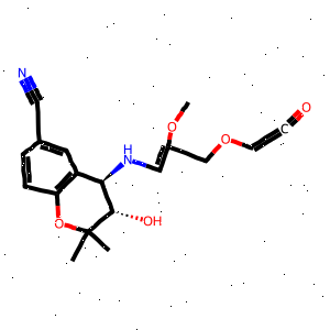 COC(=CN[C@@H]1c2cc(C#N)ccc2OC(C)(C)[C@H]1O)COC=C=O